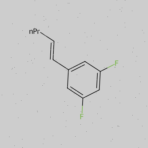 CCCC=Cc1cc(F)cc(F)c1